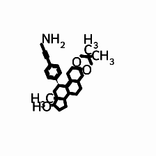 CC1(C)COC2(CCC3=C4C(CCC3C2)C2CCC(O)C2(C)C[C@@H]4c2ccc(C#CCN)cc2)OC1